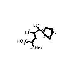 CCCCCCC(=CC(CC)C(CC)c1ccccc1)C(=O)O